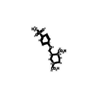 CS(=O)(=O)c1ccc(OC[C@@H]2CN(C(=O)O)CCN2C(=O)O)cc1